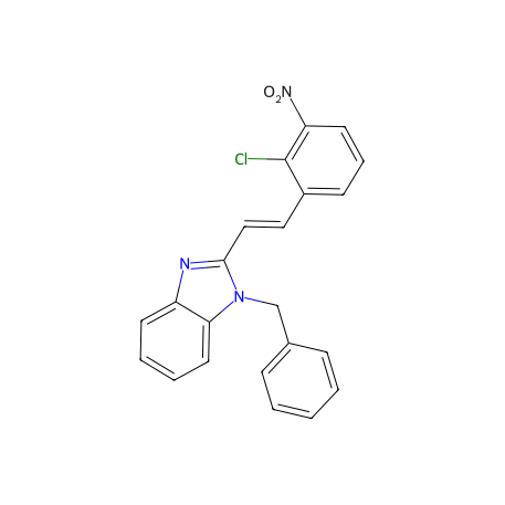 O=[N+]([O-])c1cccc(C=Cc2nc3ccccc3n2Cc2ccccc2)c1Cl